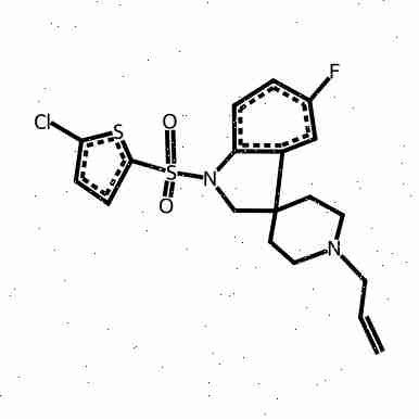 C=CCN1CCC2(CC1)CN(S(=O)(=O)c1ccc(Cl)s1)c1ccc(F)cc12